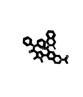 CC(=O)N1CCc2cc(-c3cc(C(=O)N(c4ccccc4)c4ccccc4)c(C)n3C)c(C(=O)N3Cc4ccccc4C[C@H]3C)cc2C1